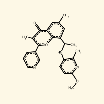 COc1ccc(NC(C)c2cc(C)cc3c(=O)c(C)c(-c4cccnc4)oc23)c(C)n1